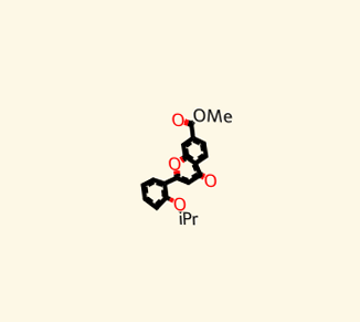 COC(=O)c1ccc2c(=O)cc(-c3ccccc3OC(C)C)oc2c1